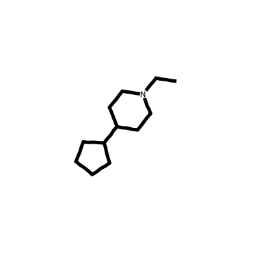 CCN1CCC(C2CCCC2)CC1